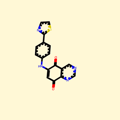 O=C1C(Nc2ccc(-c3nccs3)cc2)=CC(=O)c2ncncc21